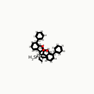 C[CH2][Zr](=[SiH2])([CH2]C)([CH]1C(C)=Cc2c(-c3ccccc3)cccc21)[CH]1C(C)=Cc2c(-c3ccccc3)cccc21